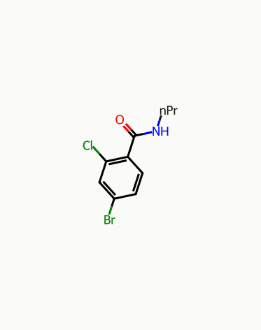 CCCNC(=O)c1ccc(Br)cc1Cl